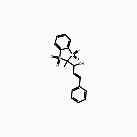 O=S1(=O)c2ccccc2S(=O)(=O)C1(F)C(O)/C=C/c1ccccc1